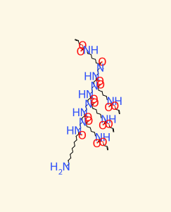 C=CCOC(=O)NCCCCCC(=O)N(C)CCNC(=O)CN(CCNC(=O)CN(CCNC(=O)CN(CCNC(=O)CCCCCCCCCCN)C(=O)CCCCCNC(=O)OCC=C)C(=O)CCCCCNC(=O)OCC=C)C(=O)CCCCCNC(=O)OCC=C